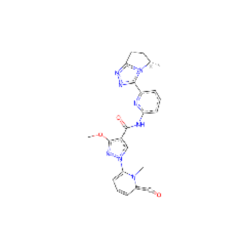 COc1nn(C2=CC=CC(=C=O)N2C)cc1C(=O)Nc1cccc(-c2nnc3n2[C@@H](C)CC3)n1